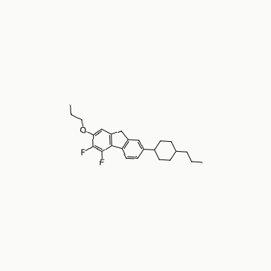 CCCOc1cc2c(c(F)c1F)-c1ccc(C3CCC(CCC)CC3)cc1C2